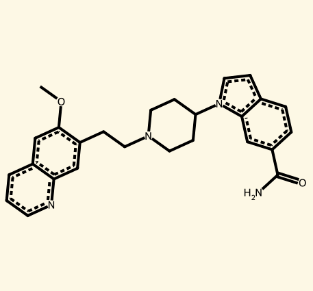 COc1cc2cccnc2cc1CCN1CCC(n2ccc3ccc(C(N)=O)cc32)CC1